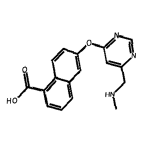 CNCc1cc(Oc2ccc3c(C(=O)O)cccc3c2)ncn1